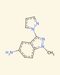 Cn1nc(-n2cccn2)c2cc(N)ccc21